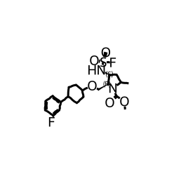 COC(=O)N1C(C)C[C@H](NS(=O)(=O)F)[C@@H]1COC1CCC(c2cccc(F)c2)CC1